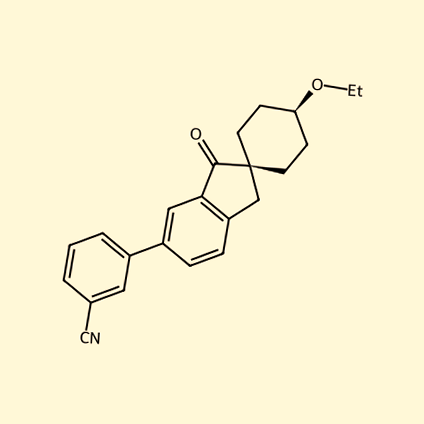 CCO[C@H]1CC[C@@]2(CC1)Cc1ccc(-c3cccc(C#N)c3)cc1C2=O